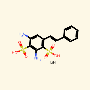 Nc1cc(C=Cc2ccccc2)c(S(=O)(=O)O)c(N)c1S(=O)(=O)O.[LiH]